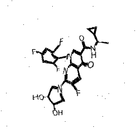 C[C@@H](NC(=O)c1cn(-c2c(F)cc(F)cc2F)c2nc(N3C[C@@H](O)[C@H](O)C3)c(F)cc2c1=O)C1CC1